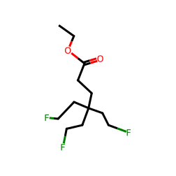 CCOC(=O)CCC(CCF)(CCF)CCF